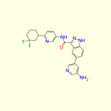 Nc1cncc(-c2ccc3[nH]nc(C(=O)Nc4ccc(C5CCCC(F)(F)C5)nc4)c3c2)c1